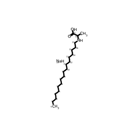 CCCCCCCCCCCCCCCCCCNC(C)C(=O)O.[NaH]